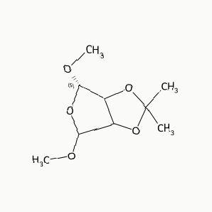 COC1O[C@H](OC)C2OC(C)(C)OC12